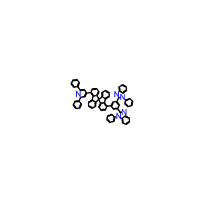 c1ccc(-c2cc(-c3cccc4c3-c3ccccc3C43c4ccccc4-c4c(-c5cc(-c6nc7ccccc7n6-c6ccccc6)cc(-c6nc7ccccc7n6-c6ccccc6)c5)cccc43)cc(-c3ccccc3)n2)cc1